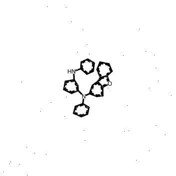 c1ccc(Nc2cccc(N(c3ccccc3)c3ccc4oc5ccccc5c4c3)c2)cc1